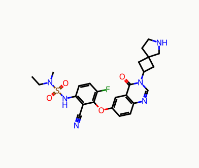 CCN(C)S(=O)(=O)Nc1ccc(F)c(Oc2ccc3ncn(C4CC5(CCNC5)C4)c(=O)c3c2)c1C#N